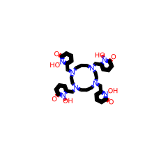 O=c1cccc(CN2CCCN(Cc3cccc(=O)n3O)CCN(Cc3cccc(=O)n3O)CCCN(Cc3cccc(=O)n3O)CC2)n1O